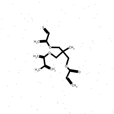 C=CC(=O)OCC(C)(COC(=C)C=S)COC(=C)C(=C)C